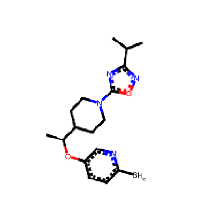 Bc1ccc(O[C@@H](C)C2CCN(c3nc(C(C)C)no3)CC2)cn1